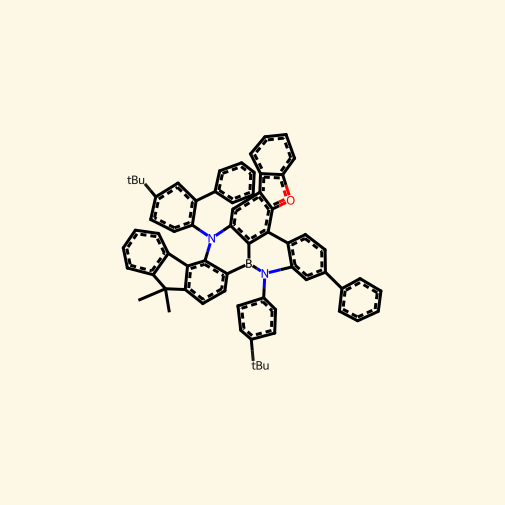 CC(C)(C)c1ccc(N2B3c4ccc5c(c4N(c4ccc(C(C)(C)C)cc4-c4ccccc4)c4cc6c(oc7ccccc76)c(c43)-c3ccc(-c4ccccc4)cc32)-c2ccccc2C5(C)C)cc1